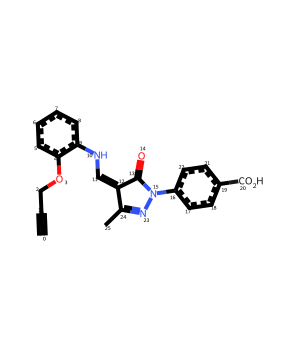 C#CCOc1ccccc1N/C=C1\C(=O)N(c2ccc(C(=O)O)cc2)N=C1C